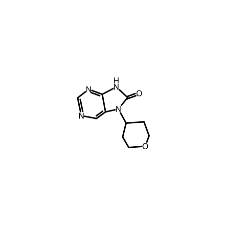 O=c1[nH]c2ncncc2n1C1CCOCC1